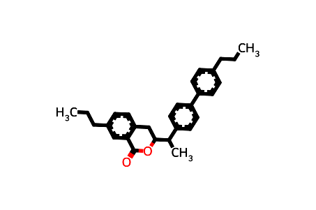 CCCc1ccc(-c2ccc(C(C)C3Cc4ccc(CCC)cc4C(=O)O3)cc2)cc1